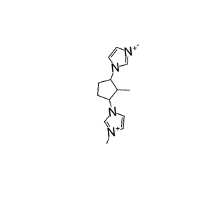 CC1C(n2cc[n+](C)c2)CCC1n1cc[n+](C)c1